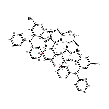 CC(C)(C)c1cc(N(c2ccccc2)c2ccccc2)c2c(c1)c1cc(C(C)(C)C)cc3c4c5c(ccc4n2c13)ccc1c5c2cc(C(C)(C)C)cc3c4cc(C(C)(C)C)cc(N(c5ccccc5)c5ccccc5)c4n1c32